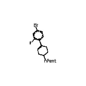 CCCCCC1CC=C(c2ccc(Br)cc2F)CC1